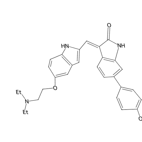 CCN(CC)CCOc1ccc2[nH]c(/C=C3/C(=O)Nc4cc(-c5ccc(OC)cc5)ccc43)cc2c1